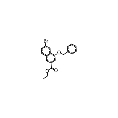 CCOC(=O)c1cc(OCc2ccccc2)c2cc(Br)ccc2c1